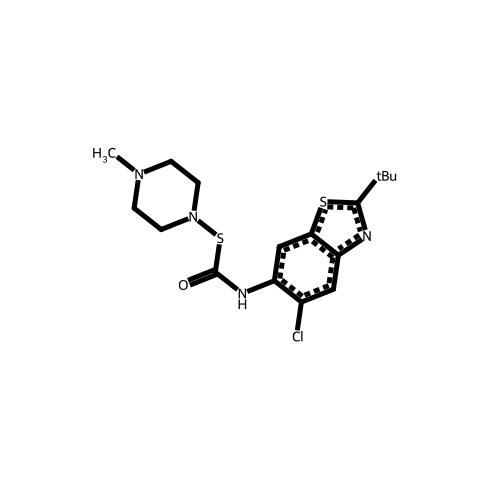 CN1CCN(SC(=O)Nc2cc3sc(C(C)(C)C)nc3cc2Cl)CC1